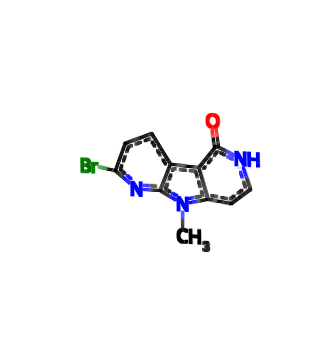 Cn1c2cc[nH]c(=O)c2c2ccc(Br)nc21